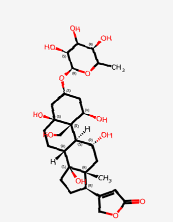 CC1O[C@@H](O[C@H]2C[C@@H](O)[C@]3(CO)[C@H]4[C@H](O)C[C@]5(C)[C@@H](C6=CC(=O)OC6)CC[C@]5(O)[C@@H]4CC[C@]3(O)C2)[C@@H](O)C(O)[C@H]1O